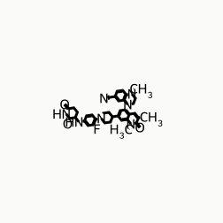 Cc1cc2c(N3CCN(C)c4ccc(C#N)cc43)cc(C3CCN(c4ccc(NC5CCC(=O)NC5=O)cc4F)CC3)cc2n(C)c1=O